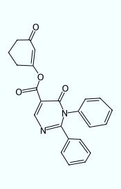 O=C1C=C(OC(=O)c2cnc(-c3ccccc3)n(-c3ccccc3)c2=O)CCC1